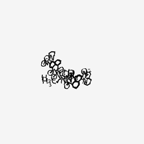 CCC(NC(C)N1C(=O)c2cccc3c(N4CCCCC4)c([N+](=O)[O-])cc(c23)C1=O)N(C)C(C)N1C(=O)c2cccc3c(N4CCCCC4)c([N+](=O)[O-])cc(c23)C1=O